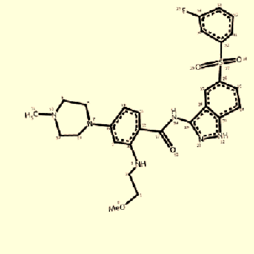 COCCNc1cc(N2CCN(C)CC2)ccc1C(=O)Nc1n[nH]c2ccc(S(=O)(=O)c3cccc(F)c3)cc12